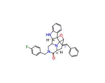 O=C1[C@@H]2CC3OC45c6ccccc6N[C@@H]4C(CN1Cc1ccc(F)cc1)N2C35/C=C/c1ccccc1